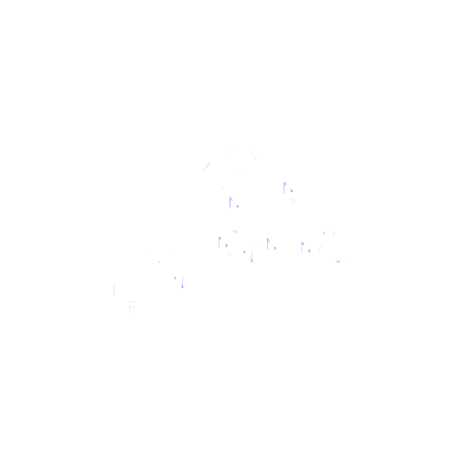 C=CC(=O)N1CCN(c2nc(OCCN(C)C3S[C@@]3(C)C3CC(F)(F)C3)nc3c2CCN(c2cccc4cccc(C)c24)C3)C[C@@H]1CC#N